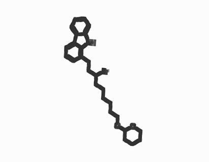 BrC(CCCCCCOC1CCCCO1)CCc1cccc2c1[nH]c1ccccc12